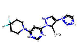 O=CC1C(n2ccnn2)=CNN1c1cc(N2CCC(F)(F)CC2)ncn1